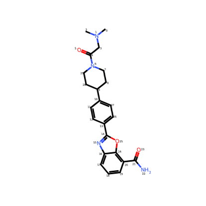 CN(C)CC(=O)N1CCC(c2ccc(-c3nc4cccc(C(N)=O)c4o3)cc2)CC1